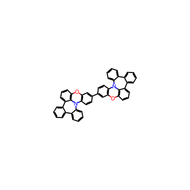 c1ccc2c(c1)-c1ccccc1N1c3ccc(-c4ccc5c(c4)Oc4cccc6c4N5c4ccccc4-c4ccccc4-6)cc3Oc3cccc-2c31